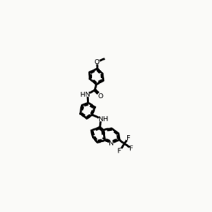 COc1ccc(C(=O)Nc2cccc(Nc3cccc4nc(C(F)(F)F)ccc34)c2)cc1